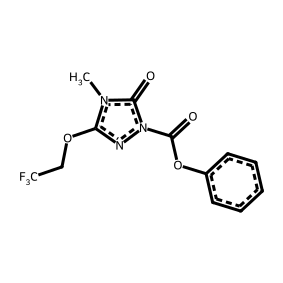 Cn1c(OCC(F)(F)F)nn(C(=O)Oc2ccccc2)c1=O